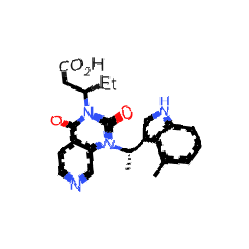 CCC(CC(=O)O)n1c(=O)c2ccncc2n([C@@H](C)c2c[nH]c3cccc(C)c23)c1=O